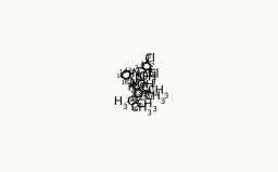 CN(Cc1cc(Cl)cc(Cl)c1O)c1ccccc1/N=C/c1cc(C(C)(C)C)cc(C(C)(C)C)c1O